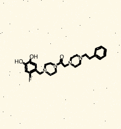 O=C(CN1CCN(CCc2ccccc2)CC1)N1CCN(Cc2cc(O)c(O)cc2F)CC1